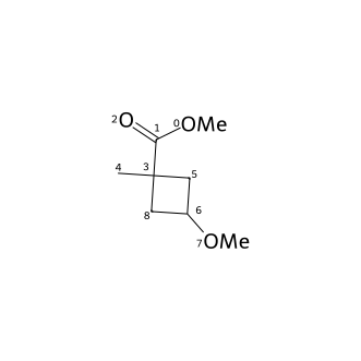 COC(=O)C1(C)CC(OC)C1